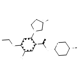 CCNc1cc(N2CC[C@@H](F)C2)c(C(=O)N[C@H]2CC[C@H](C)CC2)cc1N